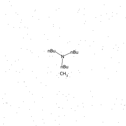 CCCCN(CCCC)CCCC.[CH3]